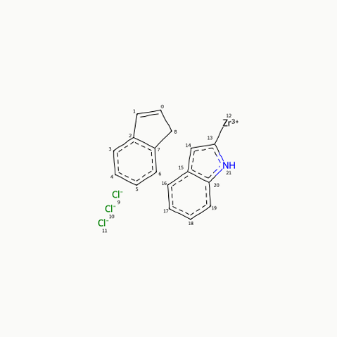 C1=Cc2ccccc2C1.[Cl-].[Cl-].[Cl-].[Zr+3][c]1cc2ccccc2[nH]1